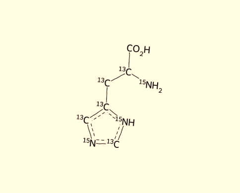 [15NH2][13CH]([13CH2][13c]1[13cH][15n][13cH][15nH]1)[13C](=O)O